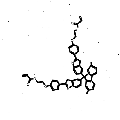 C=CC(=O)OCCOc1ccc(C2=Nc3ccc(C4(c5ccc6c(c5)CC(c5ccc(OCCOC(=O)C=C)cc5)=N6)c5cc(C)ccc5-c5ccc(C)cc54)cc3C2)cc1